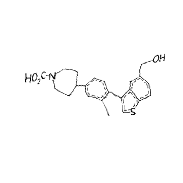 Cc1cc(C2CCN(C(=O)O)CC2)ccc1-c1csc2ccc(CO)cc12